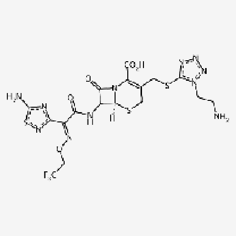 NCCn1nnnc1SCC1=C(C(=O)O)N2C(=O)C(NC(=O)C(=NOCC(F)(F)F)c3nsc(N)n3)[C@@H]2SC1